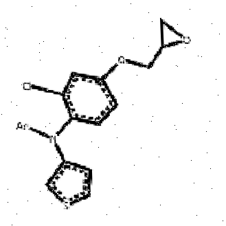 CC(=O)N(c1ccsc1)c1ccc(OCC2CO2)cc1Cl